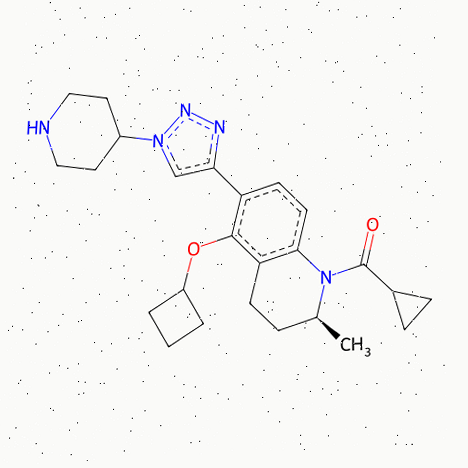 C[C@H]1CCc2c(ccc(-c3cn(C4CCNCC4)nn3)c2OC2CCC2)N1C(=O)C1CC1